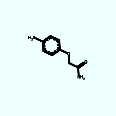 Bc1ccc(OCC(N)=O)cc1